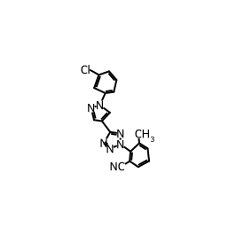 Cc1cccc(C#N)c1-n1nnc(-c2cnn(-c3cccc(Cl)c3)c2)n1